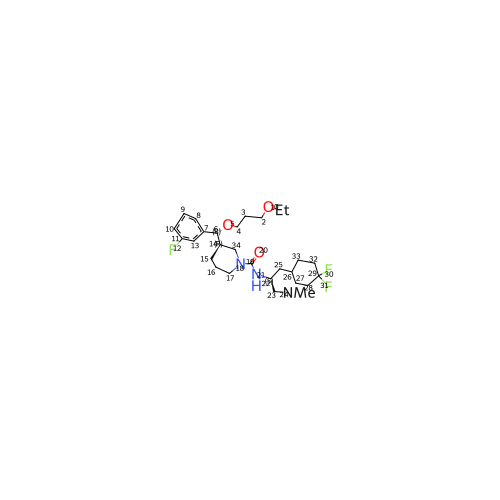 CCOCCCO[C@@H](c1cccc(F)c1)[C@@H]1CCCN(C(=O)N[C@H](CNC)CC2CCC(F)(F)CC2)C1